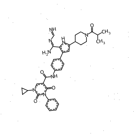 CC(C)C(=O)N1CCC(c2cc(-c3ccc(NC(=O)c4cn(C5CC5)c(=O)n(-c5ccccc5)c4=O)cc3)c(/C(N)=N\C=N)[nH]2)CC1